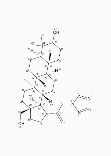 C=C(Cn1cncn1)[C@@H]1CC[C@]2(CO)CC[C@]3(C)[C@H](CC[C@@H]4[C@@]5(C)CCC(O)C(C)(C)[C@@H]5CC[C@]43C)[C@@H]12